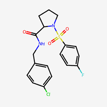 O=C(NCc1ccc(Cl)cc1)C1CCCN1S(=O)(=O)c1ccc(F)cc1